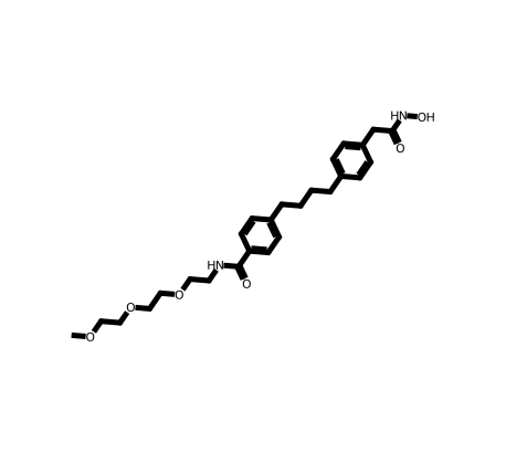 COCCOCCOCCNC(=O)c1ccc(CCCCc2ccc(CC(=O)NO)cc2)cc1